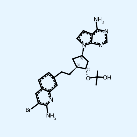 CC(C)(O)O[C@H]1C[C@H](n2ccc3c(N)ncnc32)C[C@@H]1CCc1ccc2cc(Br)c(N)nc2c1